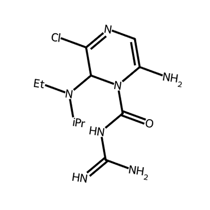 CCN(C(C)C)C1C(Cl)=NC=C(N)N1C(=O)NC(=N)N